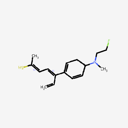 C=C/C(=C\C=C(/C)S)C1=CCC(N(C)CCF)C=C1